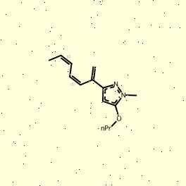 C=C(/C=C\C=C/C)c1cc(OCCC)n(C)n1